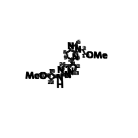 COCCn1c(C)nc2ccc(-c3ccn4nc(N[C@H]5C[C@H](OC)C5)ncc34)nc21